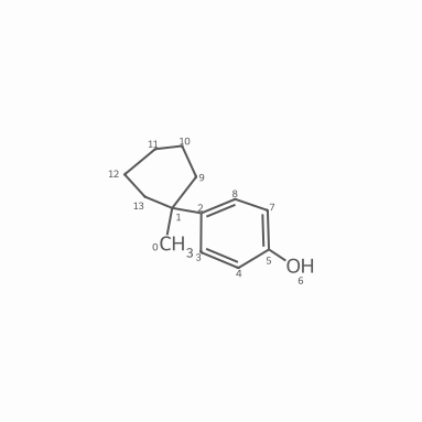 CC1(c2ccc(O)cc2)CCCCC1